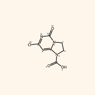 O=C(O)N1CCn2c1cc(Cl)nc2=O